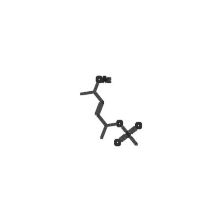 CC(=O)OC(C)/C=C/C(C)OS(C)(=O)=O